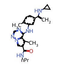 C=C(NC1CC1)c1ccc(C)c(Nc2ncnn3cc(C(=O)NCCC)c(C)c23)c1